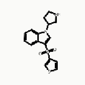 O=S(=O)(c1ccsc1)c1cn(C2CCNC2)c2ccccc12